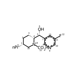 CCC[C@@H]1CC[C@H]([C@H](O)c2cncc(F)c2)N(C(=O)O)C1